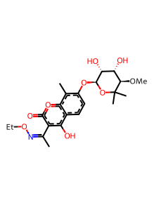 CCO/N=C(/C)c1c(O)c2ccc(O[C@@H]3OC(C)(C)[C@H](OC)[C@@H](O)[C@H]3O)c(C)c2oc1=O